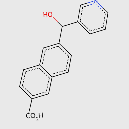 O=C(O)c1ccc2cc(C(O)c3cccnc3)ccc2c1